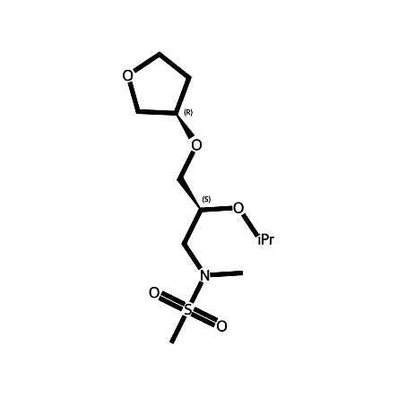 CC(C)O[C@H](CO[C@@H]1CCOC1)CN(C)S(C)(=O)=O